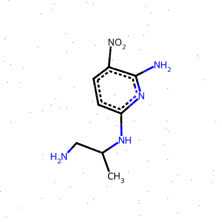 CC(CN)Nc1ccc([N+](=O)[O-])c(N)n1